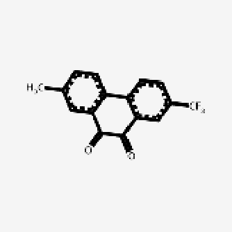 Cc1ccc2c(c1)C(=O)C(=O)c1cc(C(F)(F)F)ccc1-2